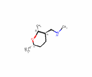 CNC[C@H]1CC[C@H](C)O[C@@H]1C